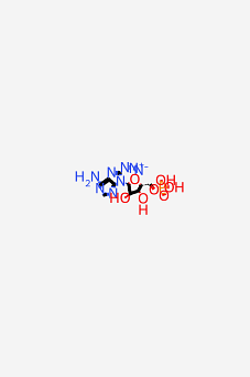 [N-]=[N+]=Nc1nc2c(N)ncnc2n1[C@@H]1O[C@H](COP(=O)(O)O)[C@@H](O)[C@H]1O